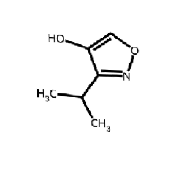 CC(C)c1nocc1O